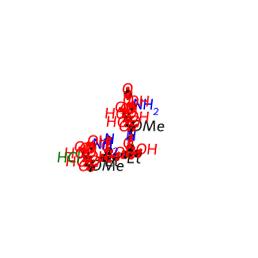 CCC(=C(c1ccc(OCCN(C)C)cc1)c1cccc(O)c1)c1ccccc1.CCC(=C(c1ccc(OCCN(C)C)cc1)c1cccc(O)c1)c1ccccc1.COc1cccc2c1C(=O)c1c(O)c3c(c(O)c1C2=O)C[C@@](O)(C(=O)CO)C[C@@H]3O[C@H]1C[C@H](N)[C@H](O)[C@H](C)O1.COc1cccc2c1C(=O)c1c(O)c3c(c(O)c1C2=O)C[C@@](O)(C(=O)CO)C[C@@H]3O[C@H]1C[C@H](N)[C@H](O)[C@H](C)O1.Cl.O=C1C=CC(=O)C=C1